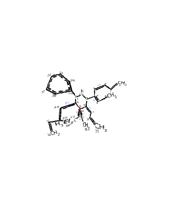 C=C/C=C\C(=C/C)P(NP(C(/C=C\C)=C/C(C)C=C)c1ccccc1)C(/C=C\C)=C/C=C